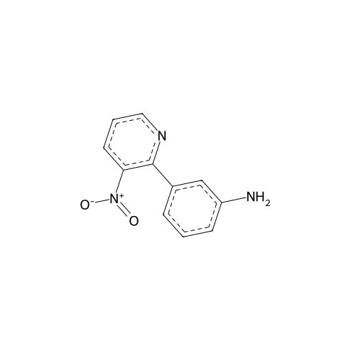 Nc1cccc(-c2ncccc2[N+](=O)[O-])c1